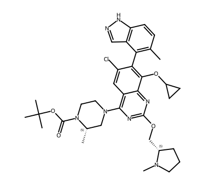 Cc1ccc2[nH]ncc2c1-c1c(Cl)cc2c(N3CCN(C(=O)OC(C)(C)C)[C@@H](C)C3)nc(OC[C@@H]3CCCN3C)nc2c1OC1CC1